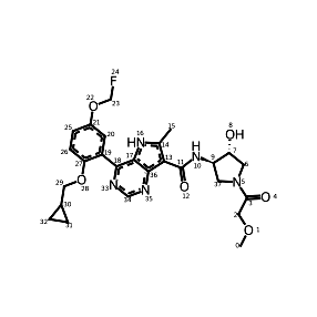 COCC(=O)N1C[C@@H](O)[C@H](NC(=O)c2c(C)[nH]c3c(-c4cc(OCF)ccc4OCC4CC4)ncnc23)C1